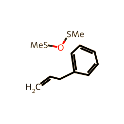 C=CCc1ccccc1.CSOSC